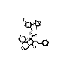 Cc1cnnn1-c1cc(F)ccc1CNC(=O)c1nc2n(c(=O)c1CCc1ccccc1)CCOCC21CCOCC1